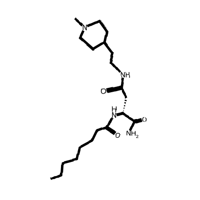 CCCCCCCC(=O)N[C@H](CC(=O)NCCC1CCN(C)CC1)C(N)=O